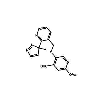 COc1cc(C=O)c(OCc2cccnc2C2(C)C=CN=N2)cn1